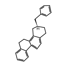 c1ccc(C[C@H]2CCc3ccc4c(c3C2)CCc2ccccc2-4)cc1